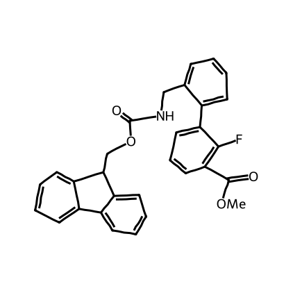 COC(=O)c1cccc(-c2ccccc2CNC(=O)OCC2c3ccccc3-c3ccccc32)c1F